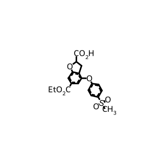 CCOC(=O)c1cc(Oc2ccc(S(C)(=O)=O)cc2)c2c(c1)OC(C(=O)O)C2